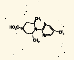 C[C@@H]1CN(C(=O)O)C[C@@H](C)N1c1ncc(C(F)(F)F)cn1